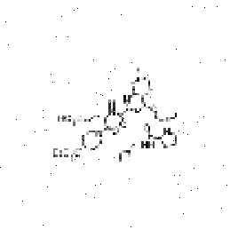 CCOC(=O)N1CCN(C(=O)C(CCC(=O)O)NC(=O)c2cc(OCC(=O)N3CCCC3C(=O)NCC3CCC3)c3ccc(C)cc3n2)CC1